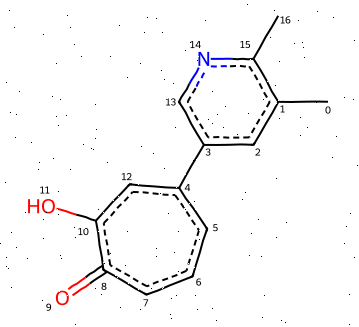 Cc1cc(-c2cccc(=O)c(O)c2)cnc1C